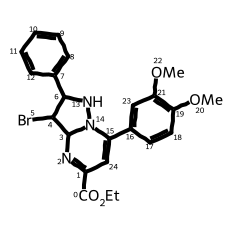 CCOC(=O)C1=NC2C(Br)C(c3ccccc3)NN2C(c2ccc(OC)c(OC)c2)=C1